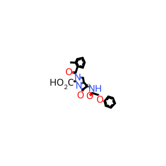 Cc1ccccc1C(=O)N1CC2[C@H](NC(=O)COc3ccccc3)C(=O)N2C1C(=O)O